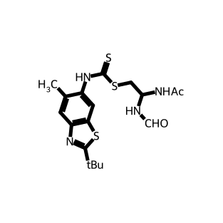 CC(=O)NC(CSC(=S)Nc1cc2sc(C(C)(C)C)nc2cc1C)NC=O